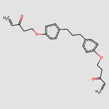 C=CC(=O)CCOc1ccc(CCCc2ccc(OCCC(=O)C=C)cc2)cc1